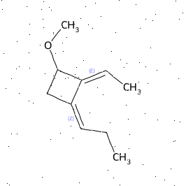 C/C=C1\C(=C/CC)CC1OC